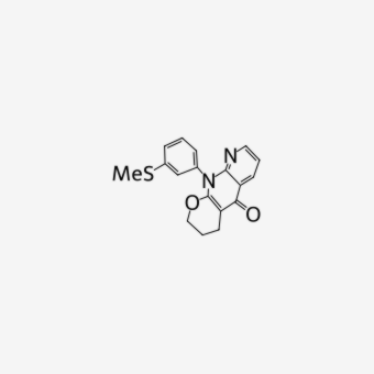 CSc1cccc(-n2c3c(c(=O)c4cccnc42)CCCO3)c1